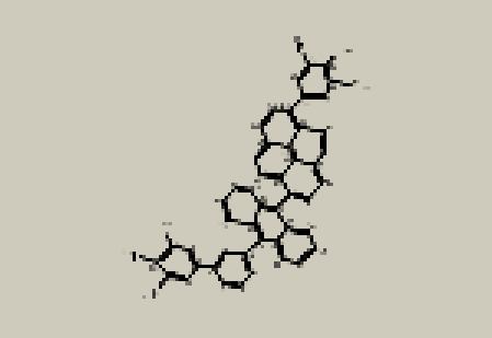 Fc1cc(-c2cccc(-c3c4ccccc4c(-c4ccc5ccc6c(-c7cc(F)c(F)c(F)c7)ccc7ccc4c5c76)c4ccccc34)c2)cc(F)c1F